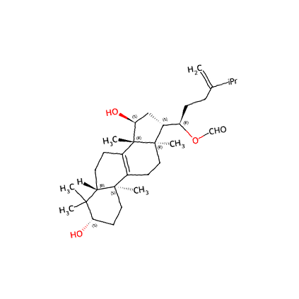 C=C(CC[C@@H](OC=O)[C@H]1C[C@H](O)[C@@]2(C)C3=C(CC[C@]12C)[C@@]1(C)CC[C@H](O)C(C)(C)[C@@H]1CC3)C(C)C